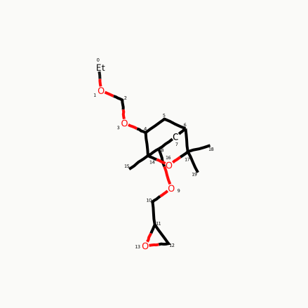 CCOCOC1CC2CC(OCC3CO3)C1(C)OC2(C)C